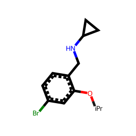 CC(C)Oc1cc(Br)ccc1CNC1CC1